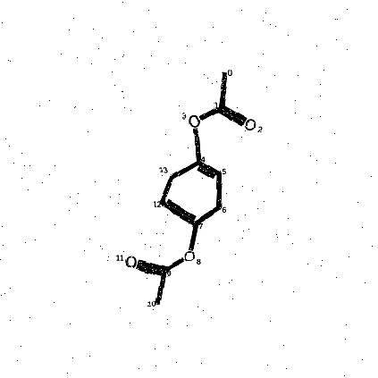 CC(=O)OC1=CCC(OC(C)=O)=CC1